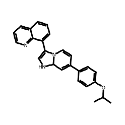 CC(C)Oc1ccc(C2=CC3NC=C(c4cccc5cccnc45)N3C=C2)cc1